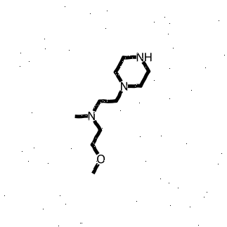 COCCN(C)CCN1CCNCC1